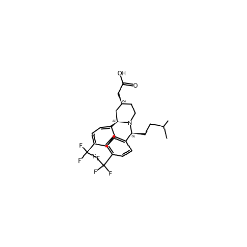 CC(C)CC[C@@H](c1ccc(C(F)(F)F)cc1)N1CC[C@H](CC(=O)O)C[C@@H]1c1ccc(C(F)(F)F)cc1